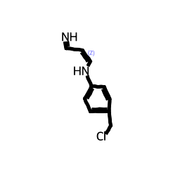 N=C/C=C\Nc1ccc(CCl)cc1